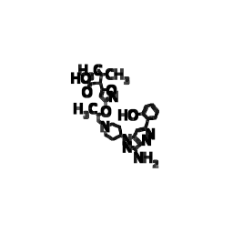 CC(CN1CCC(n2nc(N)c3nnc(-c4ccccc4O)cc32)CC1)Oc1cc(C(C(=O)O)C(C)C)on1